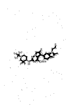 [2H]C([2H])([2H])N1CC[C@@H](Nc2nc(OC)c3c(-c4ccc5nc(C)n(CCF)c5c4)c(F)cn3n2)C(F)(F)C1